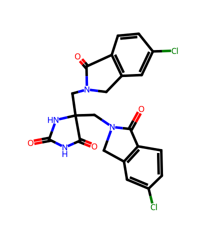 O=C1NC(=O)C(CN2Cc3cc(Cl)ccc3C2=O)(CN2Cc3cc(Cl)ccc3C2=O)N1